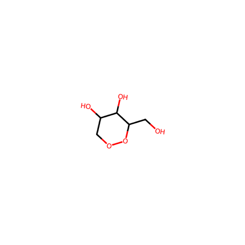 OCC1OOCC(O)C1O